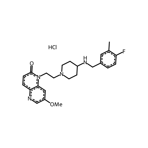 COc1cnc2ccc(=O)n(CCN3CCC(NCc4ccc(F)c(C)c4)CC3)c2c1.Cl